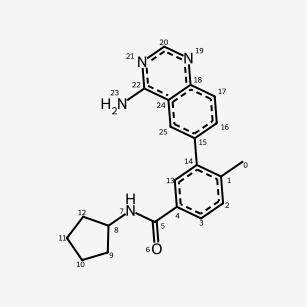 Cc1ccc(C(=O)NC2CCCC2)cc1-c1ccc2ncnc(N)c2c1